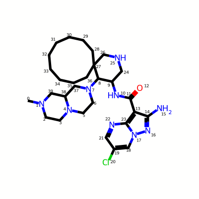 CN1CCN2CCN(C3C(NC(=O)c4c(N)nn5cc(Cl)cnc45)CNCC34CCCCCCCCC4)CC2C1